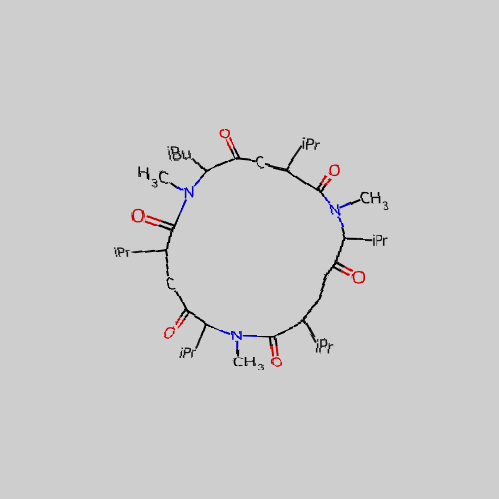 CCC(C)C1C(=O)CC(C(C)C)C(=O)N(C)C(C(C)C)C(=O)CC(C(C)C)C(=O)N(C)C(C(C)C)C(=O)CC(C(C)C)C(=O)N1C